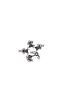 O=CC1=CC2CC3C=C(S(=O)(=O)O)C=C(CC4C=C(S(=O)(=O)O)C=C(CC5=CC(S(=O)(=O)O)=CC(CC6=CC(S(=O)(=O)O)=CC(CC(=C1)C2O)C6O)C5O)C4O)C3O